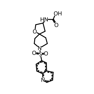 O=C(O)NC1COC2(CCN(S(=O)(=O)c3ccc4ncccc4c3)CC2)C1